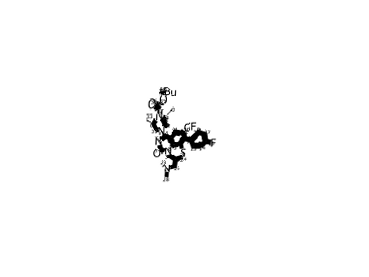 C[C@@H]1CN(c2nc(=O)n3c4c(c(-c5ccc(F)cc5)c(C(F)(F)F)cc24)SCC(CN(C)C)C3)C[C@H](C)N1C(=O)OC(C)(C)C